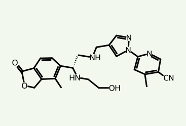 Cc1cc(-n2cc(CNC[C@H](NCCO)c3ccc4c(c3C)COC4=O)cn2)ncc1C#N